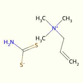 C=CC[N+](C)(C)C.NC(=S)[S-]